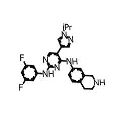 CC(C)n1cc(-c2cnc(Nc3cc(F)cc(F)c3)nc2Nc2ccc3c(c2)CNCC3)cn1